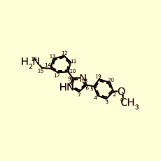 COc1ccc(-c2c[nH]c(-c3cccc(CN)c3)n2)cc1